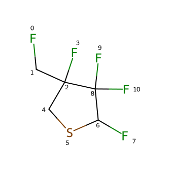 FCC1(F)CSC(F)C1(F)F